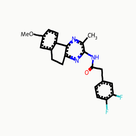 COc1ccc2c(c1)CCc1nc(NC(=O)Cc3ccc(F)c(F)c3)c(C)nc1-2